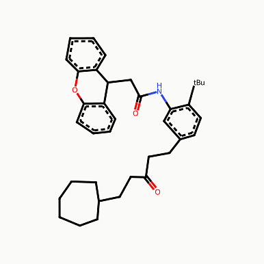 CC(C)(C)c1ccc(CCC(=O)CCC2CCCCCC2)cc1NC(=O)CC1c2ccccc2Oc2ccccc21